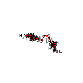 CC(C)(CCCc1cccc(CCCCC2(C(=O)CCNC(=O)CCNC(=O)C(O)C(C)(C)COP(=O)(O)OP(=O)(O)OCC3OC(n4cnc5c(N)ncnc54)C(O)C3OP(=O)(O)O)CC2)c1)C(=O)CCNC(=O)CCNC(=O)C(O)C(C)(C)COP(=O)(O)OP(=O)(O)OCC1OC(n2cnc3c(N)ncnc32)C(O)C1OP(=O)(O)O